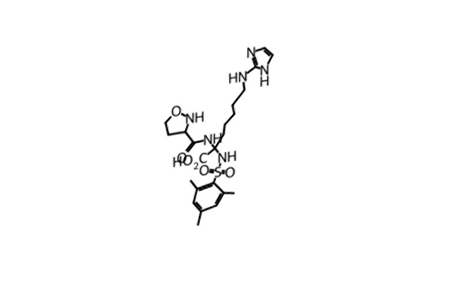 Cc1cc(C)c(S(=O)(=O)NC(CCCCCNc2ncc[nH]2)(NC(=O)C2CCON2)C(=O)O)c(C)c1